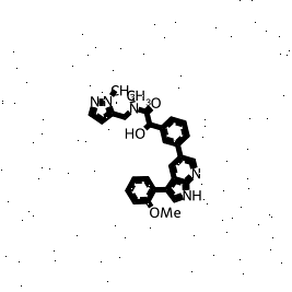 COc1ccccc1-c1c[nH]c2ncc(-c3cccc(C(O)C(=O)N(C)Cc4ccnn4C)c3)cc12